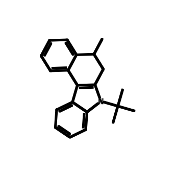 CC1Cc2c(c3ccccc3n2C(C)(C)C)-c2ccccc21